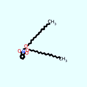 CCCCCC=CCC=CCCCCCCCCOC(CN1C(=O)c2ccccc2C1=O)OCCCCCCCCC=CCC=CCCCCC